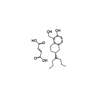 CCCN(CCC)[C@H]1CCc2c(ccc(O)c2CO)C1.O=C(O)C=CC(=O)O